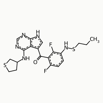 CCCSNc1ccc(F)c(C(=O)c2c[nH]c3ncnc(NC4CCSC4)c23)c1F